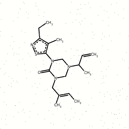 C=CC(C)N1CN(CC(C)=CC)C(=O)N(c2snc(CC)c2C)C1